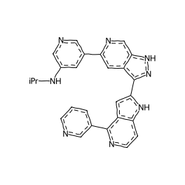 CC(C)Nc1cncc(-c2cc3c(-c4cc5c(-c6cccnc6)nccc5[nH]4)n[nH]c3cn2)c1